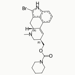 CN1C[C@H](COC(=O)N2CCCCC2)C=C2c3cccc4[nH]c(Br)c(c34)C[C@H]21